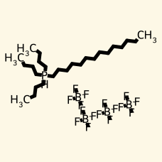 CCCCCCCCCCCCCC[PH](CCCC)(CCCC)CCCC.F[B-](F)(F)F.F[B-](F)(F)F.F[B-](F)(F)F.F[B-](F)(F)F